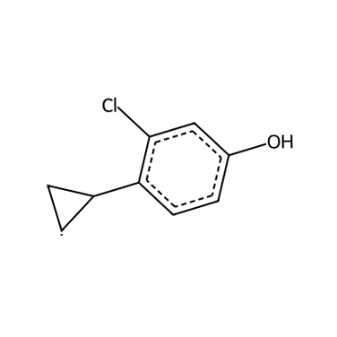 Oc1ccc(C2[CH]C2)c(Cl)c1